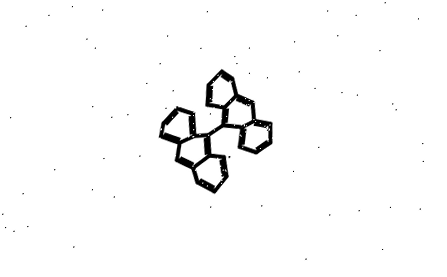 [c]1cccc2cc3ccccc3c(-c3c4ccccc4cc4ccccc34)c12